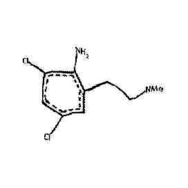 CNCCc1cc(Cl)cc(Cl)c1N